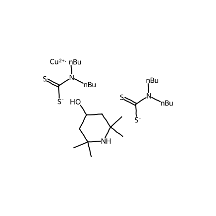 CC1(C)CC(O)CC(C)(C)N1.CCCCN(CCCC)C(=S)[S-].CCCCN(CCCC)C(=S)[S-].[Cu+2]